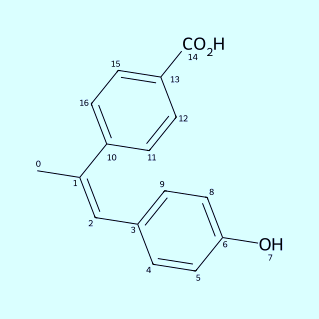 CC(=Cc1ccc(O)cc1)c1ccc(C(=O)O)cc1